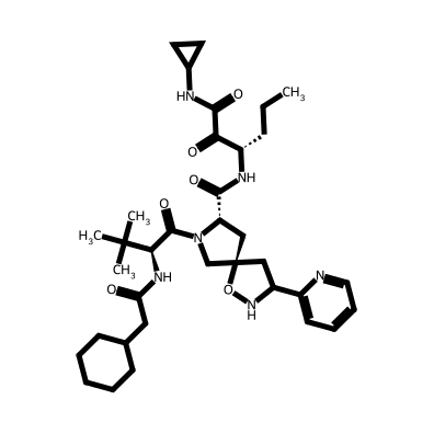 CCC[C@H](NC(=O)[C@@H]1C[C@]2(CC(c3ccccn3)NO2)CN1C(=O)[C@@H](NC(=O)CC1CCCCC1)C(C)(C)C)C(=O)C(=O)NC1CC1